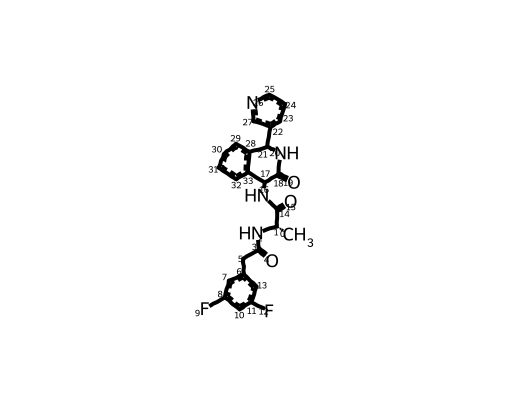 C[C@H](NC(=O)Cc1cc(F)cc(F)c1)C(=O)NC1C(=O)NC(c2cccnc2)c2ccccc21